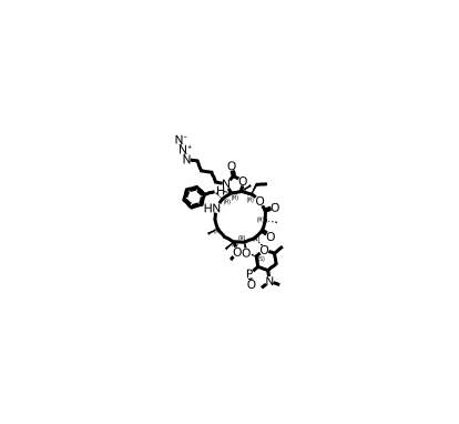 CC[C@H]1OC(=O)[C@H](C)C(=O)[C@H](C)[C@@H](O[C@@H]2OC(C)CC(N(C)C)C2P=O)[C@](C)(OC)C[C@@H](C)CN[C@H](Cc2ccccc2)[C@H]2N(CCCCN=[N+]=[N-])C(=O)O[C@]12C